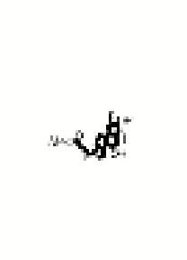 COC(=O)CC[C@@H](C)[C@H]1CCC2C3C(CC[C@@]21C)[C@@]1(C)C=C(F)[C@H](O)C[C@H]1C[C@@H]3O